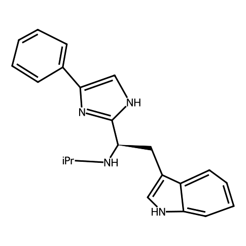 CC(C)N[C@H](Cc1c[nH]c2ccccc12)c1nc(-c2ccccc2)c[nH]1